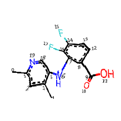 Cc1cc(C)c(Nc2c(C(=O)O)ccc(F)c2F)cn1